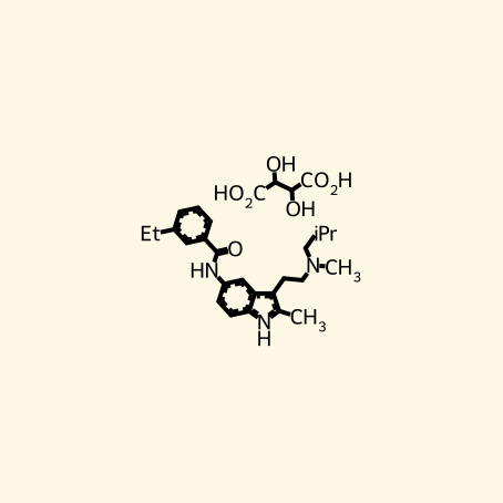 CCc1cccc(C(=O)Nc2ccc3[nH]c(C)c(CCN(C)CC(C)C)c3c2)c1.O=C(O)C(O)C(O)C(=O)O